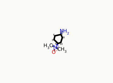 C[N+](C)([O-])C1CCC(N)CC1